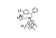 CCCN(CC(c1ccccc1)c1ccc(Cl)c(Br)c1)C(=O)OC(C)(C)C